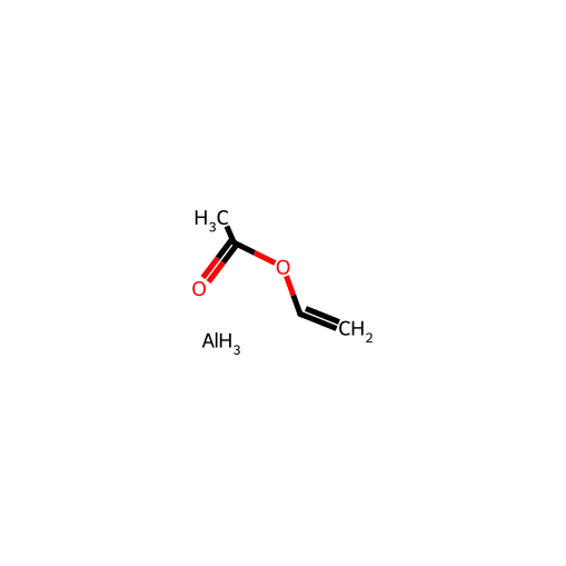 C=COC(C)=O.[AlH3]